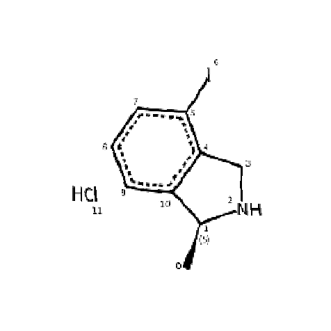 C[C@@H]1NCc2c(I)cccc21.Cl